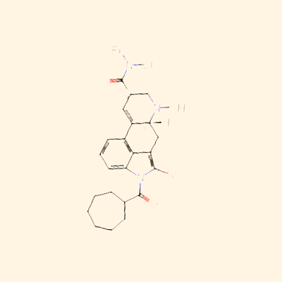 CCN(CC)C(=O)[C@@H]1C=C2c3cccc4c3c(c(Br)n4C(=O)C3CCCCCC3)C[C@H]2N(C)C1